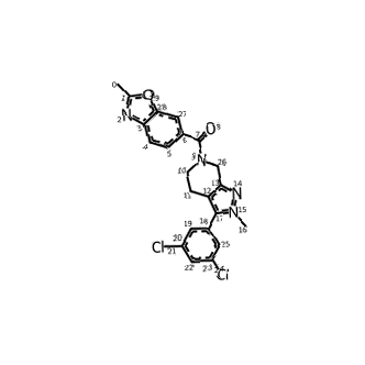 Cc1nc2ccc(C(=O)N3CCc4c(nn(C)c4-c4cc(Cl)cc(Cl)c4)C3)cc2o1